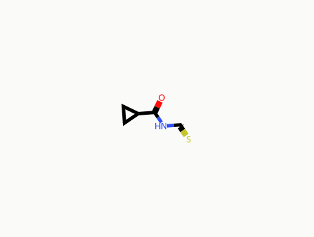 O=C(N[C]=S)C1CC1